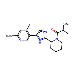 CSc1cc(C)c(-c2cnc(C3CCCCN3C(=O)C(C)SC)[nH]2)cn1